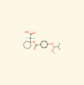 COC(Oc1ccc(C(=O)OC2(C(F)(F)C(=O)O)CCCCC2)cc1)C(C)C